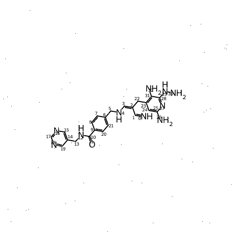 N=C/C(=C\NCc1ccc(C(=O)NCc2cncnc2)cc1)Cc1cc(N)nc(NN)c1N